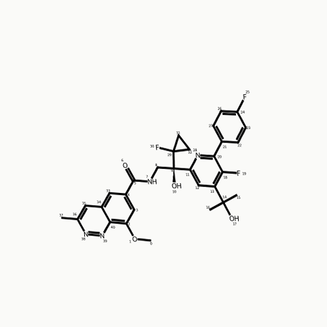 COc1cc(C(=O)NC[C@@](O)(c2cc(C(C)(C)O)c(F)c(-c3ccc(F)cc3)n2)C2(F)CC2)cc2cc(C)nnc12